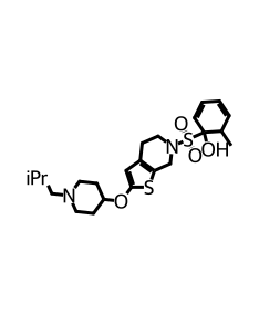 CC(C)CN1CCC(Oc2cc3c(s2)CN(S(=O)(=O)C2(O)C=CC=CC2C)CC3)CC1